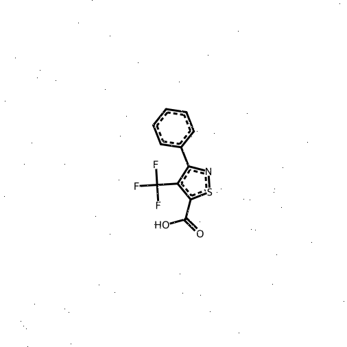 O=C(O)c1snc(-c2ccccc2)c1C(F)(F)F